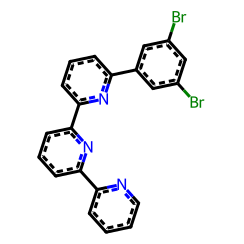 Brc1cc(Br)cc(-c2cccc(-c3cccc(-c4ccccn4)n3)n2)c1